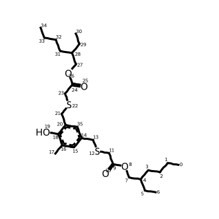 CCCCC(CC)COC(=O)CSCc1cc(C)c(O)c(CSCC(=O)OCC(CC)CCCC)c1